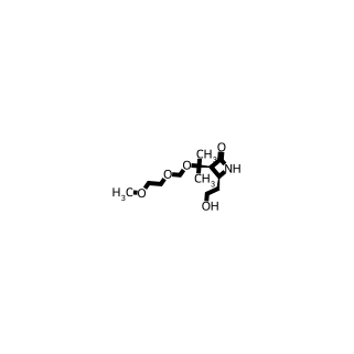 COCCOCOC(C)(C)[C@H]1C(=O)N[C@H]1CCO